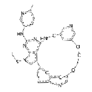 Cc1ccc(Nc2nc3c4c(cn(SI)c4n2)-c2ccc4ncc(cc4c2)OCCOc2cncc(c2)CN3)cn1